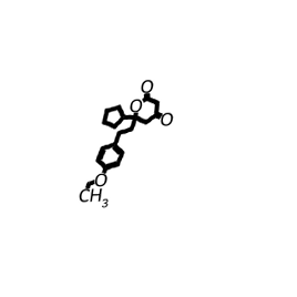 CCOc1ccc(CCC2(C3CCCC3)CC(=O)CC(=O)O2)cc1